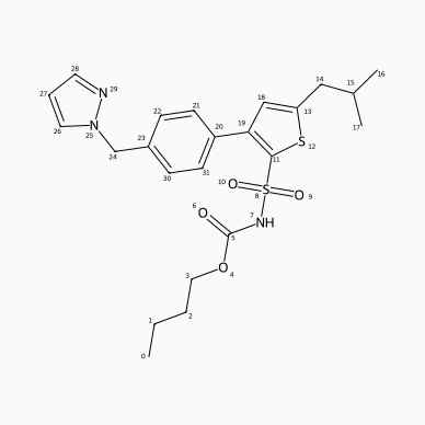 CCCCOC(=O)NS(=O)(=O)c1sc(CC(C)C)cc1-c1ccc(Cn2cccn2)cc1